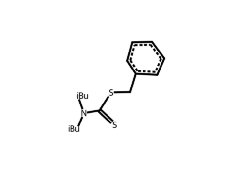 CCC(C)N(C(=S)SCc1ccccc1)C(C)CC